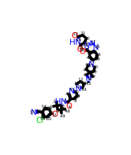 CC1(C)C(NC(=O)c2ccc(N3CC[C@H](CN4CC5(CCN(c6ccc7nnn(C8CCC(=O)NC8=O)c(=O)c7c6)CC5)C4)C3)nc2)C(C)(C)C1Oc1ccc(C#N)c(Cl)c1